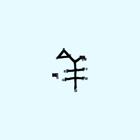 Cl.NC(C1CC1)C(F)(F)C(F)(F)F